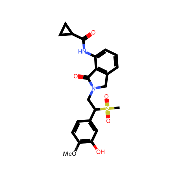 COc1ccc(C(CN2Cc3cccc(NC(=O)C4CC4)c3C2=O)S(C)(=O)=O)cc1O